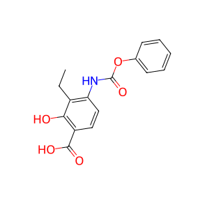 CCc1c(NC(=O)Oc2ccccc2)ccc(C(=O)O)c1O